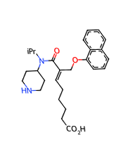 CC(C)N(C(=O)/C(=C/CCCCC(=O)O)COc1cccc2ccccc12)C1CCNCC1